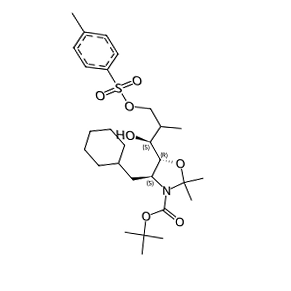 Cc1ccc(S(=O)(=O)OCC(C)[C@H](O)[C@@H]2OC(C)(C)N(C(=O)OC(C)(C)C)[C@H]2CC2CCCCC2)cc1